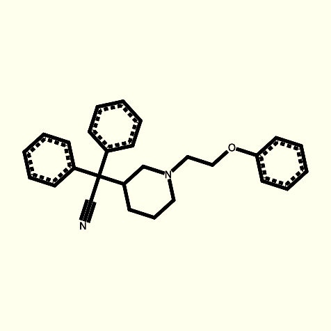 N#CC(c1ccccc1)(c1ccccc1)C1CCCN(CCOc2ccccc2)C1